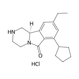 CCc1cc(C2CCCC2)c2c(c1)[C@@H]1CNCCN1C2=O.Cl